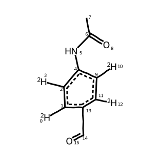 [2H]c1c([2H])c(NC(C)=O)c([2H])c([2H])c1C=O